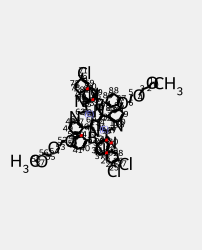 COCCOCCOc1cccc(-c2c3/c(=C(\C#N)c4cnc5cc(Cl)c(Cl)cc5n4)n(B(c4ccccc4)c4ccccc4)c(-c4cccc(OCCOCCOC)c4)c3/c(=C(\C#N)c3cnc4cc(Cl)ccc4n3)n2B(c2ccccc2)c2ccccc2)c1